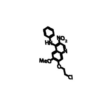 COc1cc2c(Nc3ccccc3)c([N+](=O)[O-])cnc2cc1OCCCl